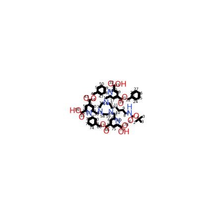 CC(C)(C)OC(=O)NCCCC[C@H]1CN(Cc2cc(C(=O)OCc3ccccc3)cc(C(=O)O)n2)CCN(Cc2cc(C(=O)OCc3ccccc3)cc(C(=O)O)n2)CCN1Cc1cc(C(=O)OCc2ccccc2)cc(C(=O)O)n1